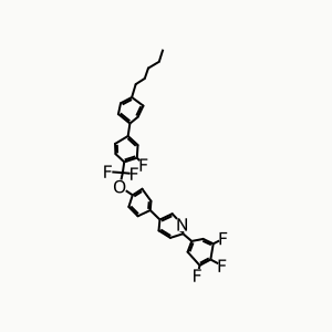 CCCCCc1ccc(-c2ccc(C(F)(F)Oc3ccc(-c4ccc(-c5cc(F)c(F)c(F)c5)nc4)cc3)c(F)c2)cc1